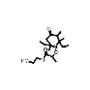 CCC1(C)CC(=O)C(C)C(C)(CC)N1OC(C)C(=O)OCCO